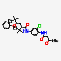 CCC(C)(C)C(CC(C(=O)Nc1ccc(NC(=O)CC(=O)C(C)(C)C)c(Cl)c1)C(C)(C)CC)Oc1ccccc1